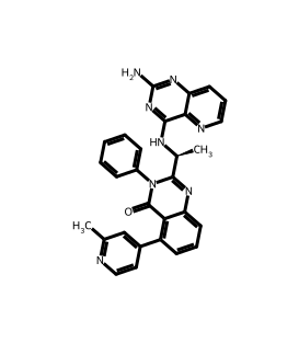 Cc1cc(-c2cccc3nc([C@H](C)Nc4nc(N)nc5cccnc45)n(-c4ccccc4)c(=O)c23)ccn1